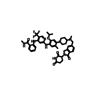 CNC(=O)c1ccccc1Nc1cc(Nc2cc(C)c(N3CCC(N(C)Cc4ccc5c(c4)CN(C4CCC(=O)NC4=O)C5=O)CC3)cc2OC(C)C)ncc1C(F)(F)F